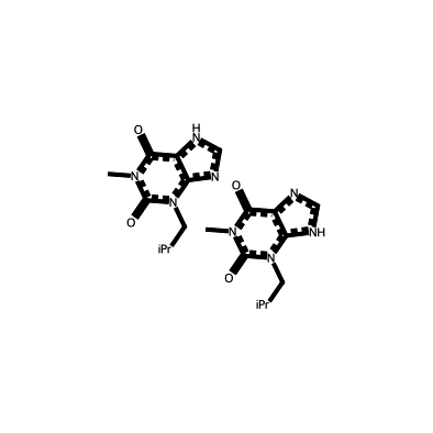 CC(C)Cn1c(=O)n(C)c(=O)c2[nH]cnc21.CC(C)Cn1c(=O)n(C)c(=O)c2nc[nH]c21